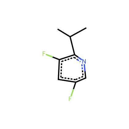 CC(C)c1ncc(F)cc1F